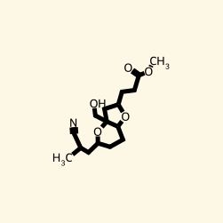 COC(=O)CCC1CC2(CO)OC(CC(C)C#N)CCC2O1